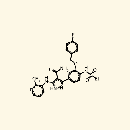 CCS(=O)(=O)Nc1ccc(-c2n[nH]c(Nc3cccnc3C(F)(F)F)c2C(N)=O)cc1OCc1ccc(F)cc1